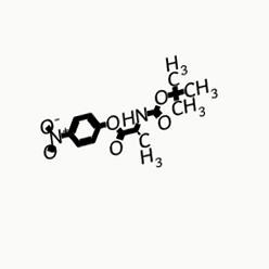 C[C@@H](NC(=O)OC(C)(C)C)C(=O)Oc1ccc([N+](=O)[O-])cc1